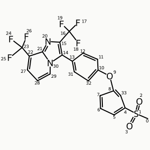 CS(=O)(=O)c1cccc(Oc2ccc(-c3c(C(F)(F)F)nc4c(C(F)(F)F)cccn34)cc2)c1